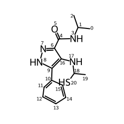 CC(C)NC(=O)c1n[nH]c(-c2ccccc2)c1NC(C)S